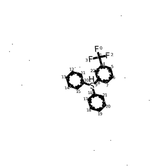 FC(F)(F)c1cccc([SH](c2ccccc2)c2ccccc2)c1